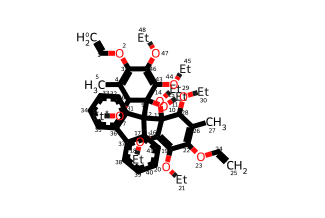 C=COC1=C(C)C(OCC)C(OCC)(C2(C3(OCC)C(OCC)=C(OCC)C(OC=C)=C(C)C3OCC)c3ccccc3-c3ccccc32)C(OCC)=C1OCC